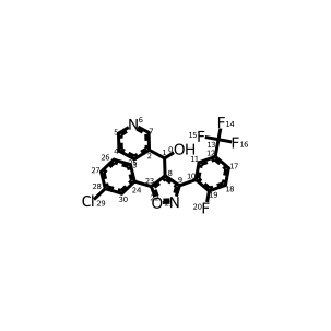 OC(c1cccnc1)c1c(-c2cc(C(F)(F)F)ccc2F)noc1-c1cccc(Cl)c1